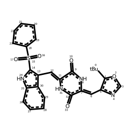 CC(C)(C)c1ocnc1/C=c1\[nH]c(=O)/c(=C/c2c(S(=O)(=O)c3ccccc3)[nH]c3ccccc23)[nH]c1=O